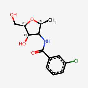 C[C@@H]1O[C@H](CO)[C@H](O)C1NC(=O)c1cccc(Cl)c1